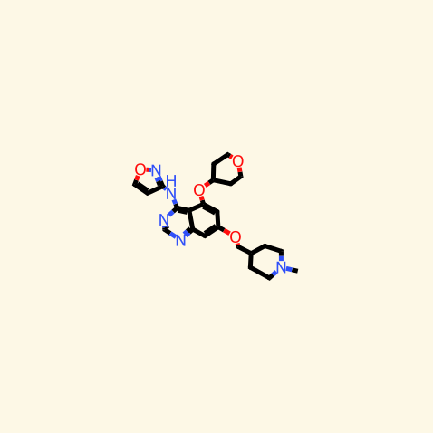 CN1CCC(COc2cc(OC3CCOCC3)c3c(Nc4ccon4)ncnc3c2)CC1